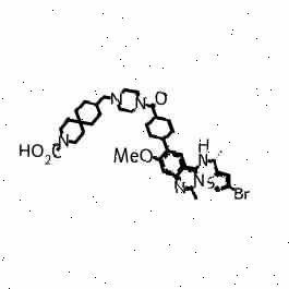 COc1cc2nc(C)nc(N[C@H](C)c3cc(Br)cs3)c2cc1C1CCC(C(=O)N2CCN(CC3CCC4(CC3)CCN(C(=O)O)CC4)CC2)CC1